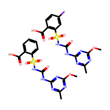 COc1nc(C)nc(NC(=O)NS(=O)(=O)c2cc(I)ccc2C(=O)O)n1.COc1nc(C)nc(NC(=O)NS(=O)(=O)c2ccccc2C(=O)O)n1